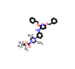 C[C@@H]1CN(C(=O)OC(C)(C)C)C[C@H](C)N1c1cccc(Nc2ccc(OCc3ccccc3)nc2OCc2ccccc2)c1